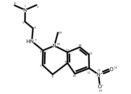 CN(C)CCNC1=CCc2cc([N+](=O)[O-])ccc2N1C